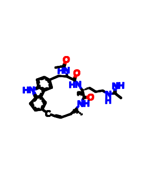 CC(=N)NCCC[C@H]1NC(=O)C(NC(C)=O)Cc2ccc3[nH]c4ccc(cc4c3c2)CC=CC[C@@H](C)NC1=O